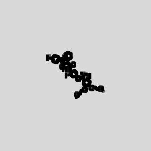 COCCOc1cc2ncnc(Oc3ccc(NC(=O)c4c5n(n(-c6ccc(F)cc6)c4=O)CCCC5)c(F)c3)c2cc1OCCOC